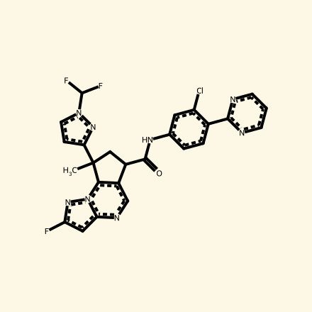 CC1(c2ccn(C(F)F)n2)CC(C(=O)Nc2ccc(-c3ncccn3)c(Cl)c2)c2cnc3cc(F)nn3c21